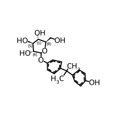 CC(C)(c1ccc(O)cc1)c1ccc(OC2O[C@H](CO)[C@@H](O)[C@H](O)[C@H]2O)cc1